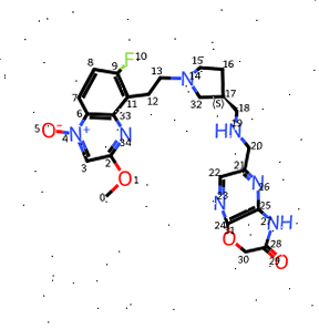 COc1c[n+]([O-])c2ccc(F)c(CCN3CC[C@@H](CNCc4cnc5c(n4)NC(=O)CO5)C3)c2n1